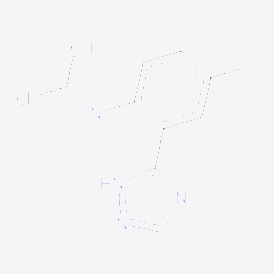 C/C(Cl)=N\c1ccc(Cl)cc1-c1ncn[nH]1